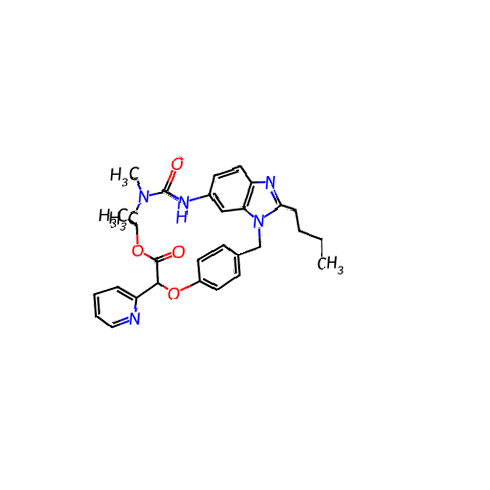 CCCCc1nc2ccc(NC(=O)N(C)C)cc2n1Cc1ccc(OC(C(=O)OCC)c2ccccn2)cc1